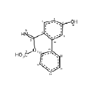 N=C(OC(=O)O)c1ccc(O)cc1-c1ccccc1